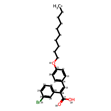 CCCCCCCCCCOc1ccc(/C=C(/C(=O)O)c2cccc(Br)c2)cc1